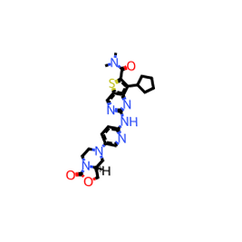 CN(C)C(=O)c1sc2cnc(Nc3ccc(N4CCN5C(=O)OC[C@H]5C4)cn3)nc2c1C1CCCC1